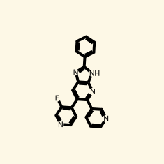 Fc1cnccc1-c1cc2nc(-c3ccccc3)[nH]c2nc1-c1cccnc1